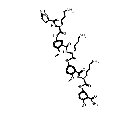 COc1ccc(NC(=O)[C@H](CCCCN)NC(=O)c2cc(NC(=O)[C@H](CCCCN)NC(=O)c3cc(NC(=O)[C@H](CCCCN)NC(=O)C4CN=C(N)S4)ccc3OC)ccc2OC)cc1C(N)=O